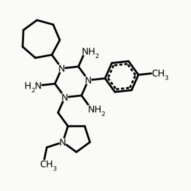 CCN1CCCC1CN1C(N)N(c2ccc(C)cc2)C(N)N(C2CCCCCC2)C1N